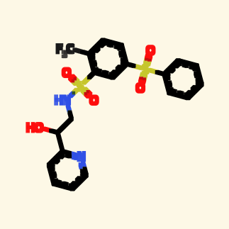 O=S(=O)(NCC(O)c1ccccn1)c1cc(S(=O)(=O)c2ccccc2)ccc1C(F)(F)F